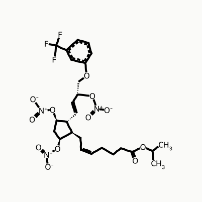 CC(C)OC(=O)CCC/C=C\C[C@@H]1[C@@H](/C=C/[C@H](COc2cccc(C(F)(F)F)c2)O[N+](=O)[O-])[C@H](O[N+](=O)[O-])C[C@@H]1O[N+](=O)[O-]